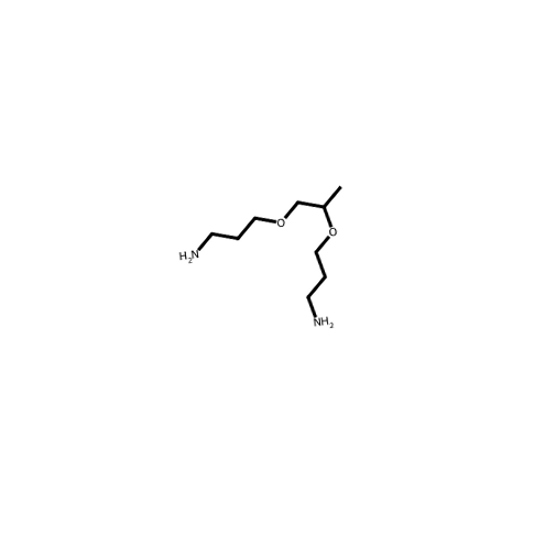 CC(COCCCN)OCCCN